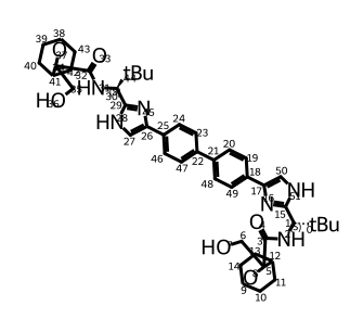 CC(C)(C)[C@H](NC(=O)C1(CO)OC2CCC1CC2)c1nc(-c2ccc(-c3ccc(-c4c[nH]c([C@@H](NC(=O)C5(CO)OC6CCC5CC6)C(C)(C)C)n4)cc3)cc2)c[nH]1